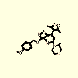 COc1ccc(COc2nsc3c(-c4c(C)noc4C)cc(N4CCOCC4C)nc23)cc1